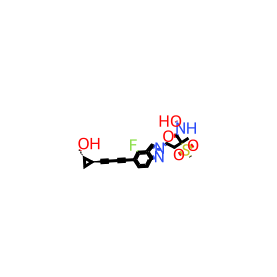 CC(CCn1cc2c(F)c(C#CC#C[C@H]3C[C@@H]3CO)ccc2n1)(C(=O)NO)S(C)(=O)=O